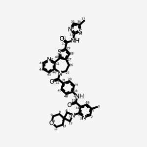 Cc1cnc(N2CC3(CCOCC3)C2)c(C(=O)Nc2ccc(C(=O)N3CCc4cc(C(=O)Nc5ncc(C)s5)sc4-c4ncccc43)cc2)c1